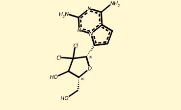 Nc1nc(N)c2ccc([C@@H]3O[C@H](CO)C(O)C3(Cl)Cl)n2n1